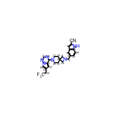 N#Cc1cc2cc(CN3CC4(CCN(c5ncnn6cc(CC(F)(F)F)cc56)CC4)C3)ccc2[nH]1